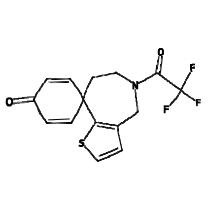 O=C1C=CC2(C=C1)CCN(C(=O)C(F)(F)F)Cc1ccsc12